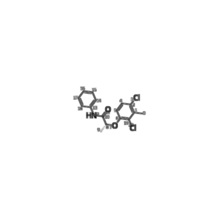 Cc1c(Cl)ccc(O[C@H](C)C(=O)Nc2ccccc2)c1Cl